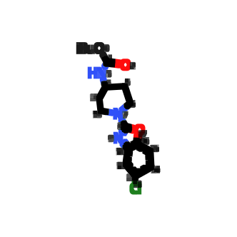 CC(C)COC(=O)NC1CCN(c2nc3cc(Cl)ccc3o2)CC1